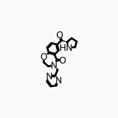 O=C(c1ccc2c(c1)C(=O)N(Cc1ncccn1)CCO2)[C@H]1CCCN1